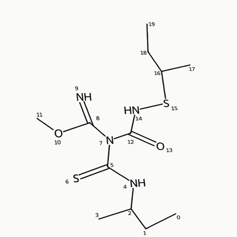 CCC(C)NC(=S)N(C(=N)OC)C(=O)NSC(C)CC